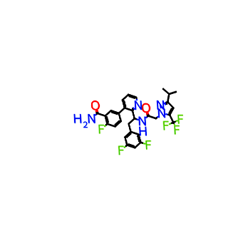 CC(C)c1cc(C(F)(F)F)n(CC(=O)NC(Cc2cc(F)cc(F)c2)c2ncccc2-c2ccc(F)c(C(N)=O)c2)n1